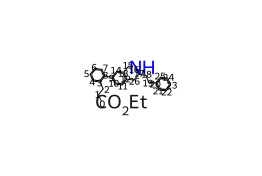 CCOC(=O)CCc1ccccc1-c1ccc2c(c1)CNC(CCc1ccccc1)C2